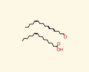 CCCC/C=C\CCC/C=C/C=C/CCC=O.CCCCC/C=C\CCCCCCCC(=O)O